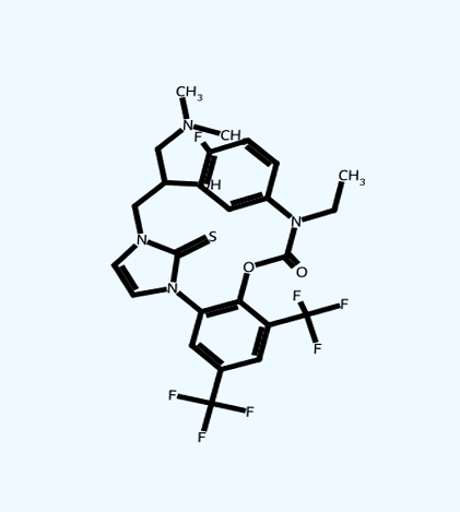 CCN(C(=O)Oc1c(-n2ccn(CC(O)CN(C)C)c2=S)cc(C(F)(F)F)cc1C(F)(F)F)c1ccc(F)cc1